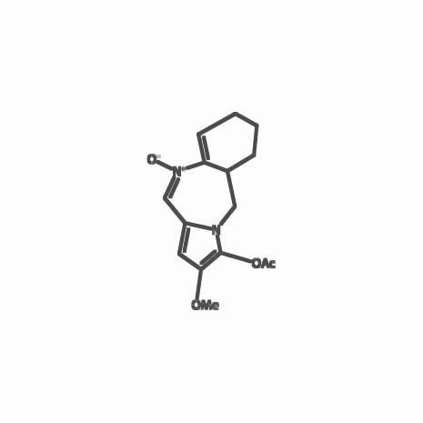 COc1cc2n(c1OC(C)=O)CC1CCCC=C1[N+]([O-])=C2